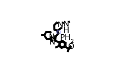 CNCN1CCC/C(=C\c2c(-c3c(C)cc(C(C)=O)cc3P)nc3n2CCC(C)C3)C1